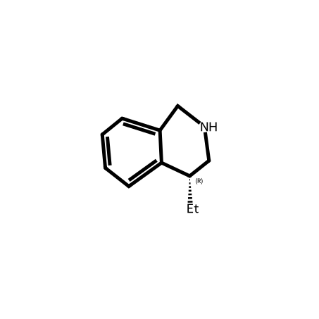 CC[C@H]1CNCc2ccccc21